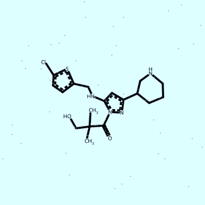 CC(C)(CO)C(=O)n1nc(C2CCCNC2)cc1NCc1ccc(Cl)s1